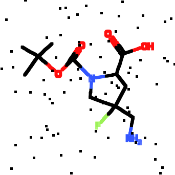 CC(C)(C)OC(=O)N1CC(F)(CN)CC1C(=O)O